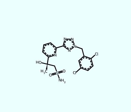 C[C@](O)(CS(N)(=O)=O)c1cccc(-c2nnn(Cc3cc(Cl)ccc3Cl)n2)n1